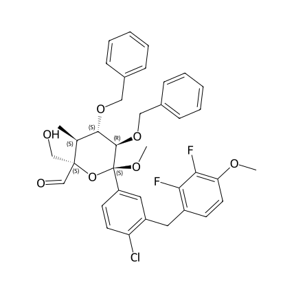 COc1ccc(Cc2cc([C@]3(OC)O[C@](C=O)(CO)[C@@H](C)[C@H](OCc4ccccc4)[C@H]3OCc3ccccc3)ccc2Cl)c(F)c1F